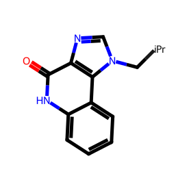 CC(C)Cn1cnc2c(=O)[nH]c3ccccc3c21